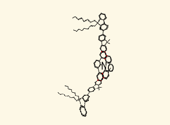 CCCCCCCCC1(CCCCCCCC)c2ccccc2-c2ccc(-c3ccc4c(c3)C(C)(C)c3cc(-c5ccc6c(c5)N(c5c(-c7ccccc7)cccc5-c5ccccc5)c5cc(-c7ccc8c(c7)C(C)(C)c7cc(-c9ccc%10c(c9)C(CCCCCCCC)(CCCCCCCC)c9ccccc9-%10)ccc7-8)ccc5O6)ccc3-4)cc21